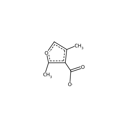 Cc1coc(C)c1C([O])=O